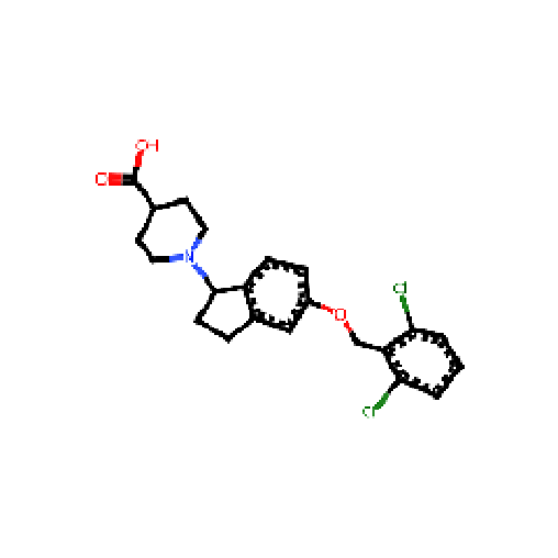 O=C(O)C1CCN(C2CCc3cc(OCc4c(Cl)cccc4Cl)ccc32)CC1